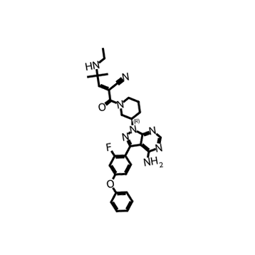 CCNC(C)(C)C=C(C#N)C(=O)N1CCC[C@@H](n2nc(-c3ccc(Oc4ccccc4)cc3F)c3c(N)ncnc32)C1